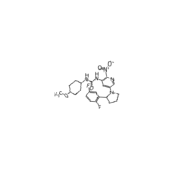 COC1CCC(NC(=O)Nc2cc(N3CCCC3c3cc(F)ccc3F)cnc2[N+](=O)[O-])CC1